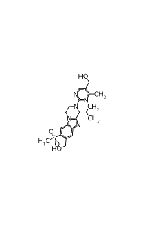 Cc1nc(N2CCn3c(nc4cc(CO)c(S(C)(=O)=O)cc43)[C@H]2C(C)C)ncc1CO